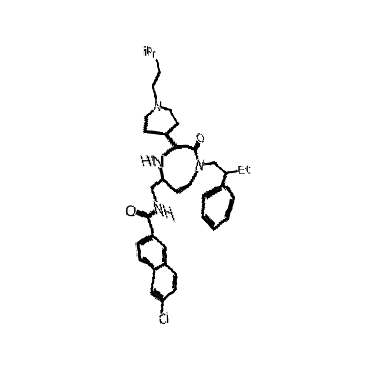 CCC(CN1CCC(CNC(=O)c2ccc3cc(Cl)ccc3c2)NC(C2CCN(CCC(C)C)CC2)C1=O)c1ccccc1